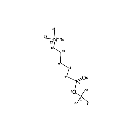 CC(C)(C)OC(=O)CCCCC[N+](C)(C)C